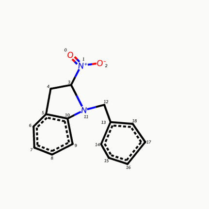 O=[N+]([O-])C1Cc2ccccc2N1Cc1ccccc1